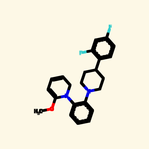 COC1=CC=CCN1c1ccccc1N1CCC(c2ccc(F)cc2F)CC1